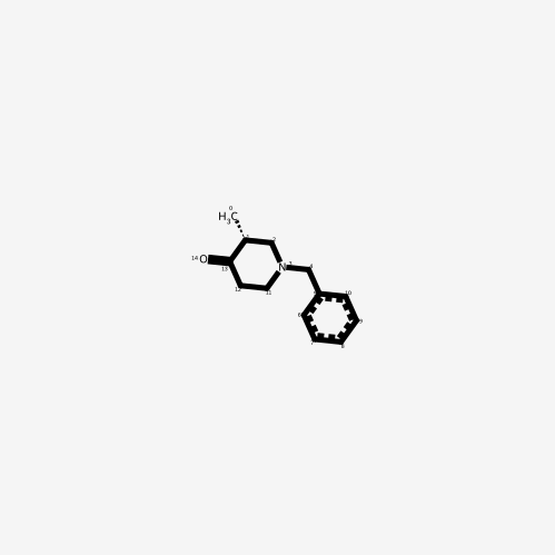 C[C@@H]1CN(Cc2ccccc2)CCC1=O